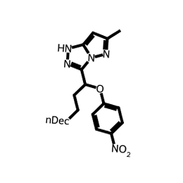 CCCCCCCCCCCCC(Oc1ccc([N+](=O)[O-])cc1)c1n[nH]c2cc(C)nn12